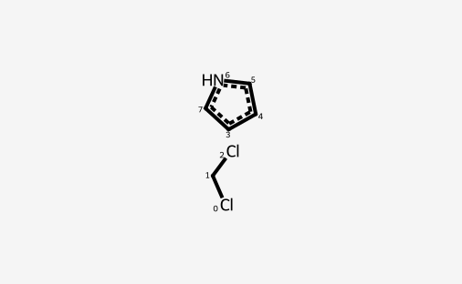 ClCCl.c1cc[nH]c1